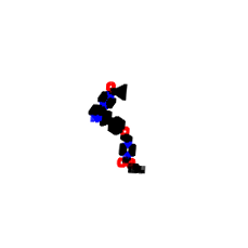 CC(C)(C)OC(=O)N1CCN(CCOc2ccc(-c3cc4c(N5CCN(C(=O)C6CC6)CC5)ccnn4c3)cc2)CC1